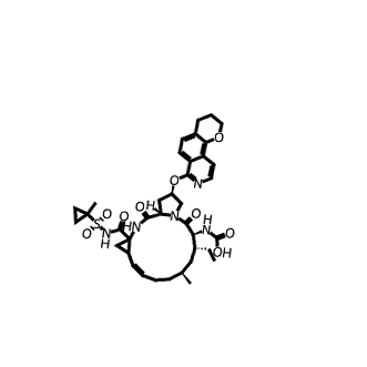 CC[C@@H]1C[C@@H](C)CC/C=C\C2CC2(C(=O)NS(=O)(=O)C2(C)CC2)NC(=O)[C@@H]2C[C@@H](Oc3nccc4c5c(ccc34)CCCO5)CN2C(=O)[C@H]1NC(=O)O